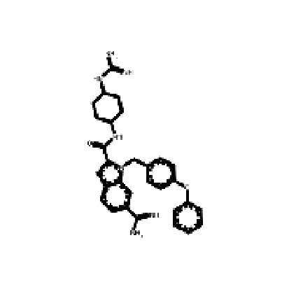 N=C(N)NC1CCC(NC(=O)c2cc3ccc(C(=N)N)cc3n2Cc2ccc(Oc3ccccc3)cc2)CC1